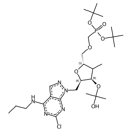 CCCNc1nc(Cl)nc2c1cnn2C[C@H]1O[C@H](COCP(=O)(OC(C)(C)C)OC(C)(C)C)C(C)[C@H]1OC(C)(C)O